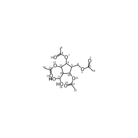 CC(=O)OCC1C(OC(C)=O)C(OC(C)=O)C(C(O)O)C1OC(C)=O